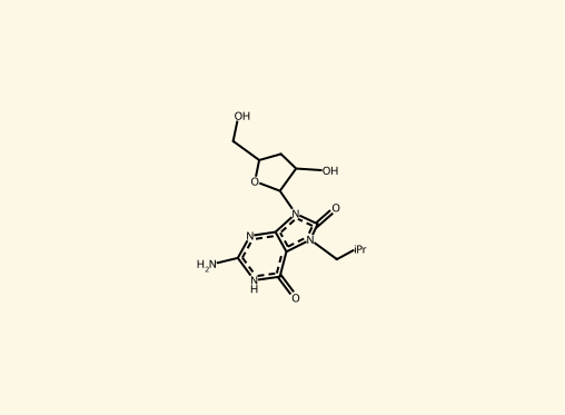 CC(C)Cn1c(=O)n(C2OC(CO)CC2O)c2nc(N)[nH]c(=O)c21